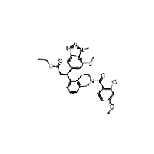 CCOC(=O)CC(c1cc(OC)c2c(c1)nnn2C)c1cccc2c1CCN(C(=O)c1ccc(OC)cc1Cl)C2